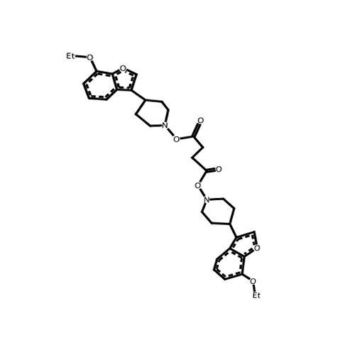 CCOc1cccc2c(C3CCN(OC(=O)CCC(=O)ON4CCC(c5coc6c(OCC)cccc56)CC4)CC3)coc12